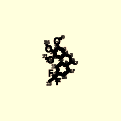 COc1cc(C[C@@H](C)c2ccc(C(C)(F)F)cc2)cc(OC)c1OC